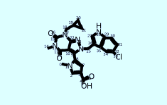 Cn1cc(C(=O)O)cc1-c1c2c(=O)n(C)c(=O)n(CC3CC3)c2nn1Cc1c[nH]c2ccc(Cl)cc12